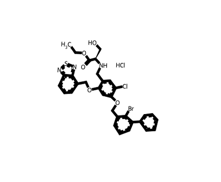 CCOC(=O)[C@@H](CO)NCc1cc(Cl)c(OCc2cccc(-c3ccccc3)c2Br)cc1OCc1cccc2nsnc12.Cl